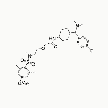 COc1cc(C)c(S(=O)(=O)N(C)CCOCC(=O)NC2CCC(C(c3ccc(F)cc3)N(C)C)CC2)c(C)c1